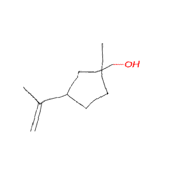 C=C(C)C1CCC(C)(O)C1